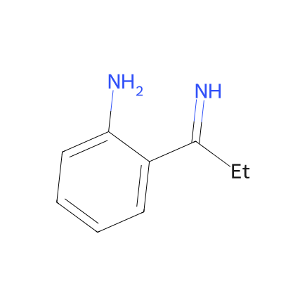 CCC(=N)c1ccccc1N